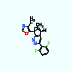 C=C1[C@@H]2CC[C@@]1(c1ocnc1C)c1nnc(-c3c(F)cccc3F)cc12